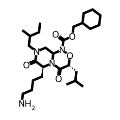 CCC(C)CN1CC2N(C(=O)OCC3CCCCC3)O[C@H](CC(C)C)C(=O)N2[C@@H](CCCCN)C1=O